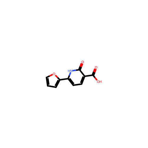 O=C(O)c1ccc(-c2ccco2)[nH]c1=O